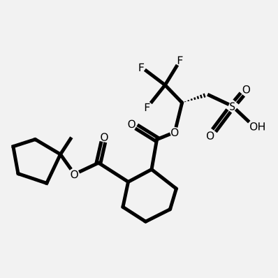 CC1(OC(=O)C2CCCCC2C(=O)O[C@@H](CS(=O)(=O)O)C(F)(F)F)CCCC1